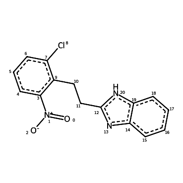 O=[N+]([O-])c1cccc(Cl)c1CCc1nc2ccccc2[nH]1